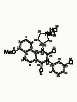 COc1cccc2c1ncc1c(=O)n(-c3cccc(Cl)c3)c(=O)n([C@@H]3CCNC3)c12.Cl.Cl